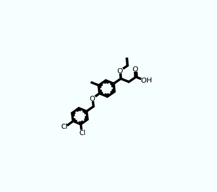 CCOC(CC(=O)O)c1ccc(OCc2ccc(Cl)c(Cl)c2)c(C)c1